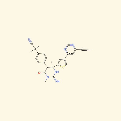 CC#Cc1cc(-c2csc([C@@]3(C)NC(=N)N(C)C(=O)[C@@H]3c3ccc(C(C)(C)C#N)cc3)c2)ncn1